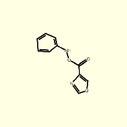 O=C(ONc1ccccc1)c1cocn1